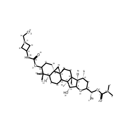 CC(C)[C@@H](OC(=O)N(C)C)C1C[C@@H](C)[C@H]2C(O1)[C@H](O)[C@@]1(C)C3CC[C@H]4C(C)(C)C(OC(=O)NC5CN(CC(F)(F)F)C5)CC[C@@]45C[C@@]35CC[C@]21C